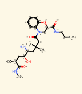 CCCCNC(=O)[C@H](C)C[C@H](O)[C@@H](N)CC(C)(C)CC(=O)N1C[C@H](C(=O)NCCOC)Oc2ccccc21